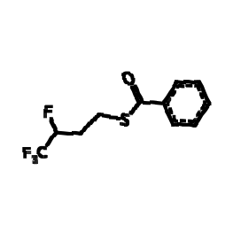 O=C(SCCC(F)C(F)(F)F)c1ccccc1